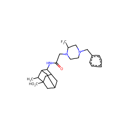 CC1C2CC3CC(CC1(C(=O)O)C3)C2NC(=O)CN1CCN(Cc2ccccc2)CC1C(F)(F)F